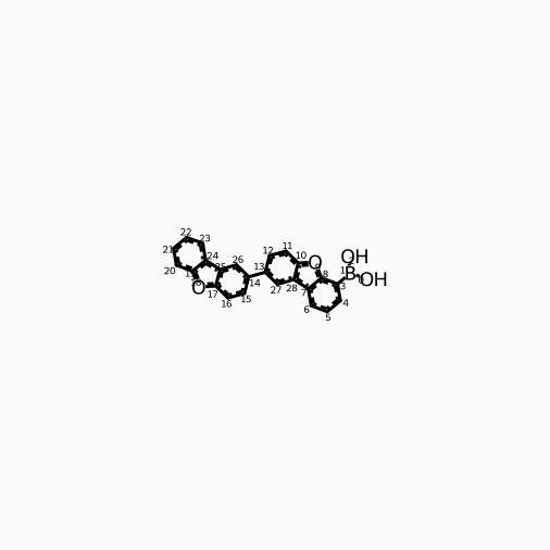 OB(O)c1cccc2c1oc1ccc(-c3ccc4oc5ccccc5c4c3)cc12